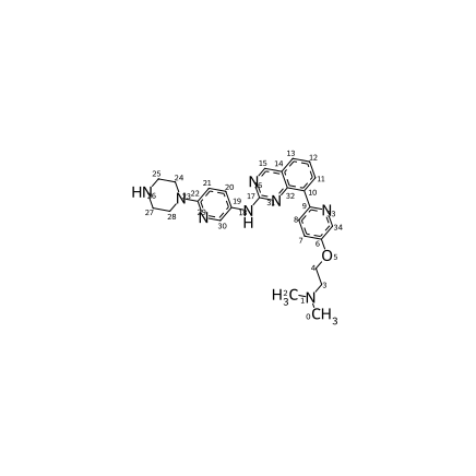 CN(C)CCOc1ccc(-c2cccc3cnc(Nc4ccc(N5CCNCC5)nc4)nc23)nc1